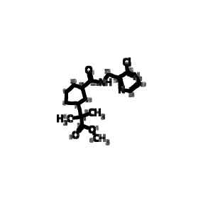 COC(=O)C(C)(C)C1CCCC(C(=O)NCc2nccnc2Cl)C1